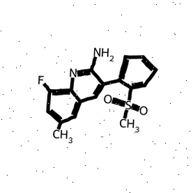 Cc1cc(F)c2nc(N)c(-c3ccccc3S(C)(=O)=O)cc2c1